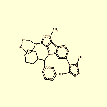 Cc1nnn(C)c1-c1cnc2c3c(c(N4CCNCC4)nn3C)n(C(c3ccccc3)C3CCOCC3)c2c1